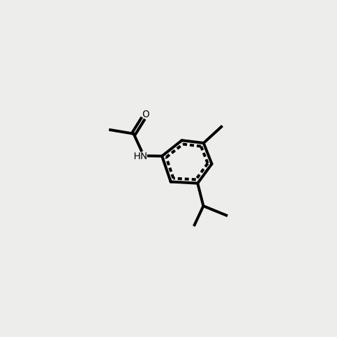 CC(=O)Nc1cc(C)cc(C(C)C)c1